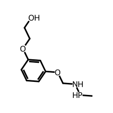 CPNCOc1cccc(OCCO)c1